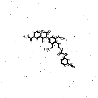 CCc1cc(C(Nc2cccc(C(N)=O)c2)C(=O)O)cc(CC)c1CCOC(=O)Nc1cccc(C#N)c1